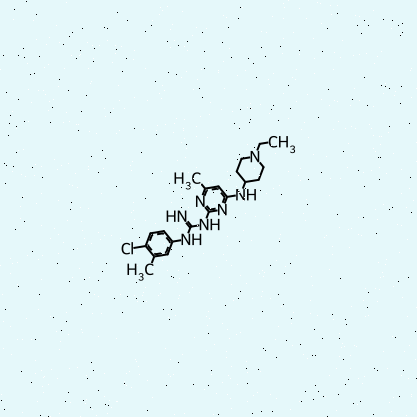 CCN1CCC(Nc2cc(C)nc(NC(=N)Nc3ccc(Cl)c(C)c3)n2)CC1